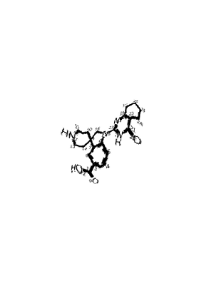 O=C(O)c1ccc2c(c1)C1(CCNCC1)CN2c1nc2c(c(=O)[nH]1)CCCC2